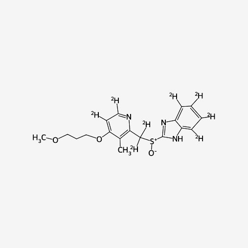 [2H]c1nc(C([2H])([2H])[S+]([O-])c2nc3c([2H])c([2H])c([2H])c([2H])c3[nH]2)c(C)c(OCCCOC)c1[2H]